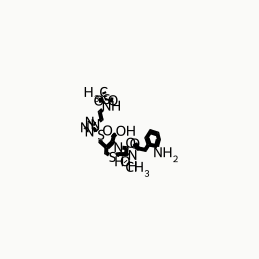 CO[C@@]1(NC(=O)Cc2ccccc2N)C(=O)N2C(C(=O)O)=C(CSc3nnnn3CCNS(C)(=O)=O)CS[C@@H]21